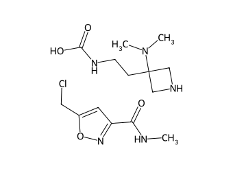 CN(C)C1(CCNC(=O)O)CNC1.CNC(=O)c1cc(CCl)on1